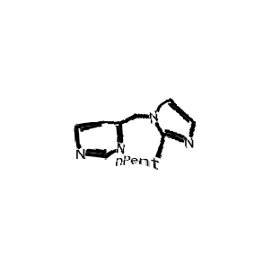 CCCCCc1nccn1Cc1ccncn1